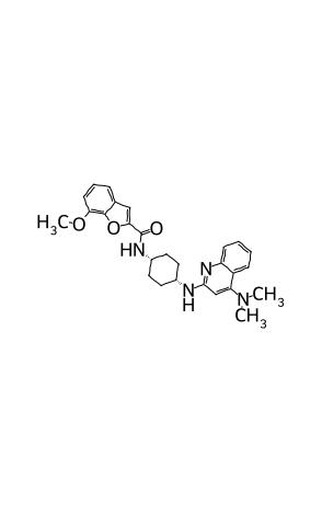 COc1cccc2cc(C(=O)N[C@H]3CC[C@@H](Nc4cc(N(C)C)c5ccccc5n4)CC3)oc12